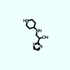 OC(CNC1CCNCC1)c1nccs1